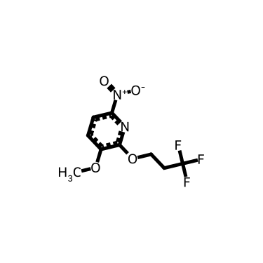 COc1ccc([N+](=O)[O-])nc1OCCC(F)(F)F